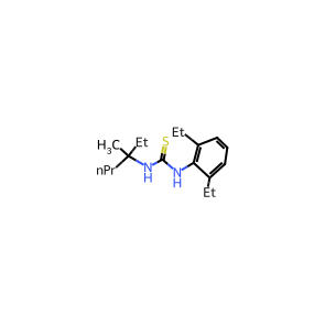 CCCC(C)(CC)NC(=S)Nc1c(CC)cccc1CC